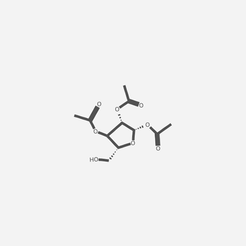 CC(=O)OC1[C@@H](CO)O[C@@H](OC(C)=O)[C@H]1OC(C)=O